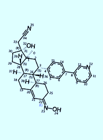 C[C@]12C[C@H](c3ccc(-c4cccnc4)cc3)[C@H]3[C@@H](CCC4=C/C(=N/O)CC[C@@H]43)[C@@H]1CC[C@@]2(O)CC#N